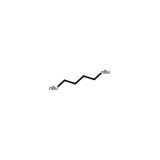 CCC[CH]CCC[CH]CCCC